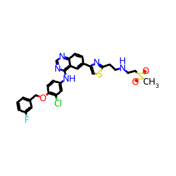 CS(=O)(=O)CCNCCc1nc(-c2ccc3ncnc(Nc4ccc(OCc5cccc(F)c5)c(Cl)c4)c3c2)cs1